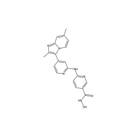 Cc1ccn2c(-c3ccnc(Nc4ccc(C(=O)NO)cn4)c3)c(C)nc2c1